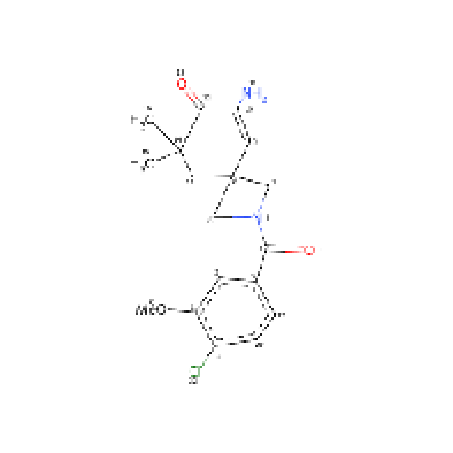 COc1cc(C(=O)N2CC3(C=C(N)C(=O)C(C)(C)C3)C2)ccc1Cl